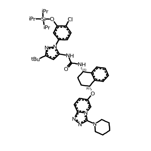 CC(C)[Si](Oc1cc(-n2nc(C(C)(C)C)cc2NC(=O)N[C@H]2CC[C@@H](Oc3ccc4nnc(N5CCCCC5)n4c3)c3ccccc32)ccc1Cl)(C(C)C)C(C)C